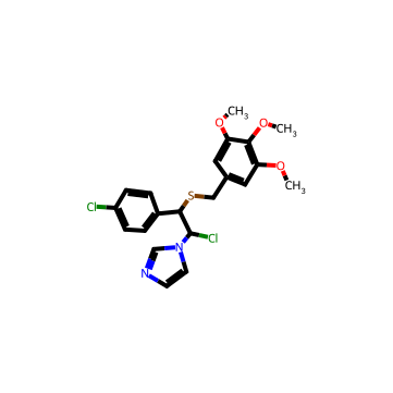 COc1cc(CSC(c2ccc(Cl)cc2)C(Cl)n2ccnc2)cc(OC)c1OC